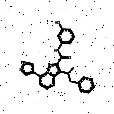 CN(Cc1ccccc1)c1c(C(=O)Nc2cccc(O)c2)nn2c(-c3cn[nH]c3)ccnc12